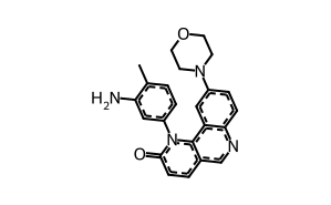 Cc1ccc(-n2c(=O)ccc3cnc4ccc(N5CCOCC5)cc4c32)cc1N